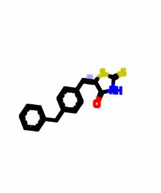 O=C1NC(=S)S/C1=C/c1ccc(Cc2ccccc2)cc1